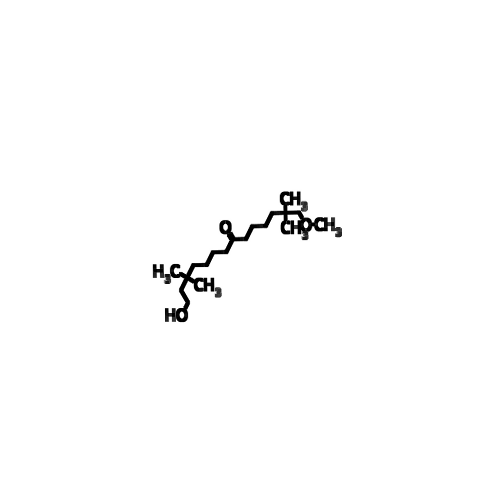 COCC(C)(C)CCCCC(=O)CCCCC(C)(C)CCO